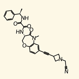 C[C@@H](NC(=O)C(=O)N[C@H]1COc2ccc(C#CC3CN(CC#N)C3)cc2N(C)C1=O)c1ccccc1